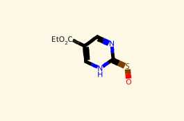 CCOC(=O)c1cnc(=S=O)[nH]c1